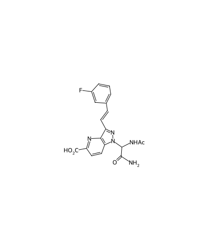 CC(=O)NC(C(N)=O)n1nc(C=Cc2cccc(F)c2)c2nc(C(=O)O)ccc21